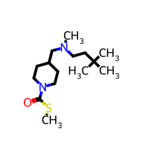 CSC(=O)N1CCC(CN(C)CCC(C)(C)C)CC1